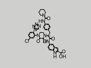 O=C(O)c1cc2cc(NC(=O)[C@H](Cc3ccc(NC(=O)N4CCCCC4)cc3)N3CCN(c4cc(Cl)ccc4-n4cnnn4)C(=O)C3=O)ccc2[nH]1